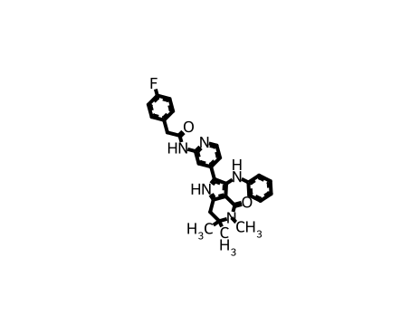 CN1C(=O)c2c([nH]c(-c3ccnc(NC(=O)Cc4ccc(F)cc4)c3)c2Nc2ccccc2)CC1(C)C